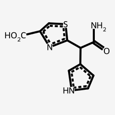 NC(=O)C(c1cc[nH]c1)c1nc(C(=O)O)cs1